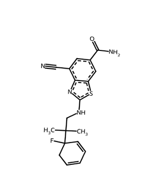 CC(C)(CNc1nc2c(C#N)cc(C(N)=O)cc2s1)C1(F)C=CC=CC1